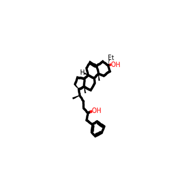 CC[C@]1(O)CC[C@@]2(C)C(=CC[C@@H]3C2CC[C@@]2(C)C3CC[C@@H]2[C@H](C)CCC(O)Cc2ccccc2)C1